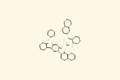 c1ccc(-n2c3ccccc3c3cc4c5ccc6ccccc6c5n(-c5nc(-c6ccc7ccccc7c6)c6ccccc6n5)c4cc32)cc1